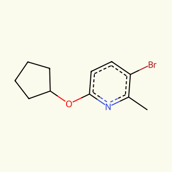 Cc1nc(OC2CCCC2)ccc1Br